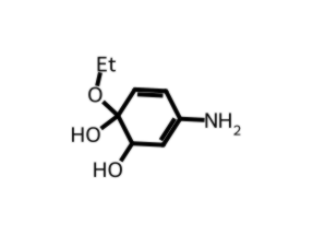 CCOC1(O)C=CC(N)=CC1O